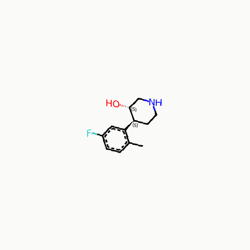 Cc1ccc(F)cc1[C@@H]1CCNC[C@H]1O